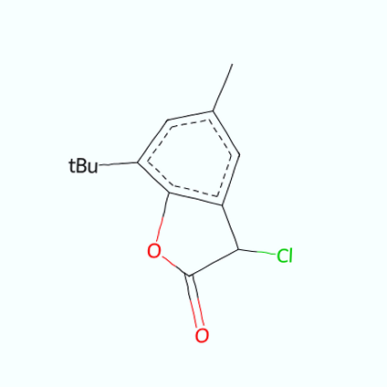 Cc1cc2c(c(C(C)(C)C)c1)OC(=O)C2Cl